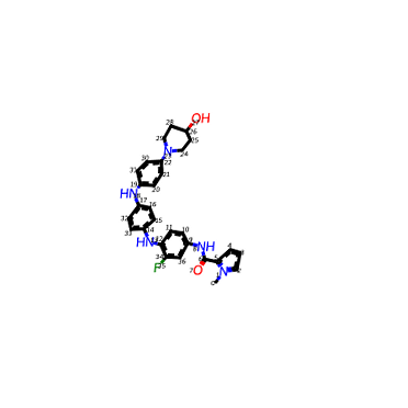 Cn1cccc1C(=O)Nc1ccc(Nc2ccc(Nc3ccc(N4CCC(O)CC4)cc3)cc2)c(F)c1